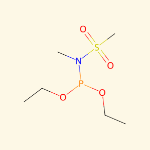 CCOP(OCC)N(C)S(C)(=O)=O